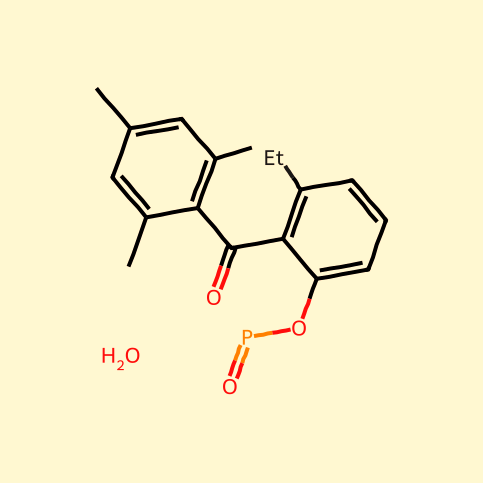 CCc1cccc(OP=O)c1C(=O)c1c(C)cc(C)cc1C.O